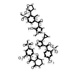 CS(=O)(=O)c1cc(C(F)(F)F)ccc1C(=O)c1cnoc1C1CC1.CS(=O)(=O)c1ccc(C(=O)C2C(=O)CCCC2=O)c([N+](=O)[O-])c1.Cc1c(C(=O)c2cnn(C)c2O)ccc(S(C)(=O)=O)c1C1=NOCC1